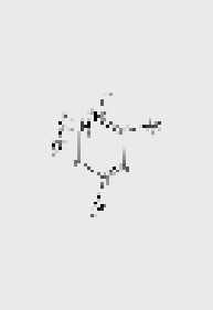 CC(=O)c1cc[n+](C)c(C(C)=O)c1.O=S(=O)([O-])O